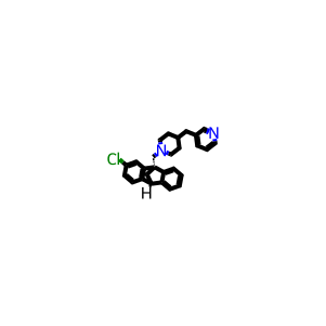 Clc1ccc2c(c1)[C@]1(CN3CCC(Cc4cccnc4)CC3)C[C@@H]2c2ccccc21